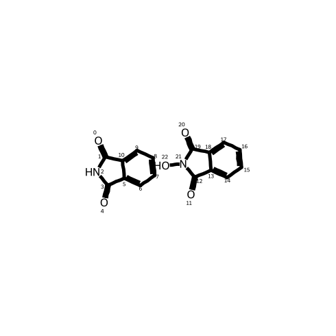 O=C1NC(=O)c2ccccc21.O=C1c2ccccc2C(=O)N1O